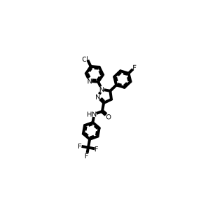 O=C(Nc1ccc(C(F)(F)F)cc1)C1=NN(c2ccc(Cl)cn2)C(c2ccc(F)cc2)C1